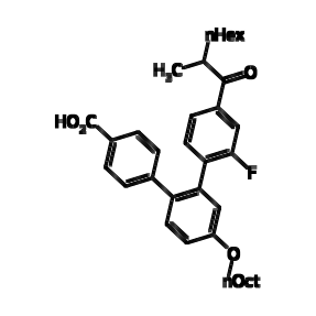 CCCCCCCCOc1ccc(-c2ccc(C(=O)O)cc2)c(-c2ccc(C(=O)C(C)CCCCCC)cc2F)c1